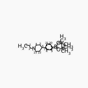 CCCN1CCC(c2ccc(B3OC(C)(C)C(C)(C)O3)cc2)CC1